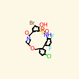 O=C1c2cc(Br)c(O)c(c2)S(=O)(=O)Nc2cc(c(F)cc2F)-c2cc(Cl)ccc2COC2CN1C2